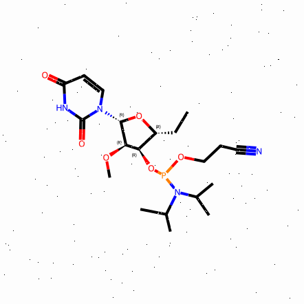 CC[C@H]1O[C@@H](n2ccc(=O)[nH]c2=O)[C@H](OC)[C@@H]1OP(OCCC#N)N(C(C)C)C(C)C